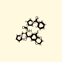 O=C(N[C@H](CN1CCCC1)[C@H](O)c1cc(F)c2c(c1)OCCO2)[C@@H]1CCN(C(=O)c2ccccc2)C1